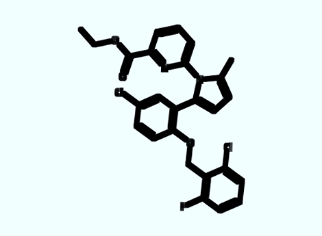 CCOC(=O)c1cccc(-n2c(C)ccc2-c2cc(Cl)ccc2OCc2c(F)cccc2Cl)n1